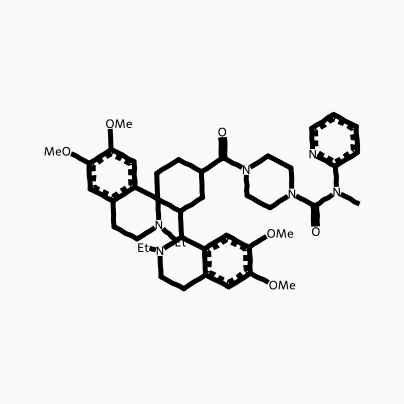 CCN1CCc2cc(OC)c(OC)cc2C1C1CC(C(=O)N2CCN(C(=O)N(C)c3ccccn3)CC2)CCC12c1cc(OC)c(OC)cc1CCN2CC